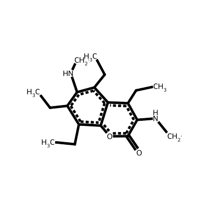 [CH2]Nc1c(CC)c(CC)c2oc(=O)c(N[CH2])c(CC)c2c1CC